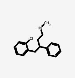 CNCCC(Cc1ccccc1Cl)c1ccccc1